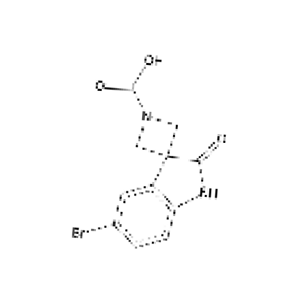 O=C(O)N1CC2(C1)C(=O)Nc1ccc(Br)cc12